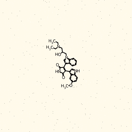 CCN(CC)CC(O)Cn1cc(C2=C(c3c[nH]c4ccc(OC)cc34)C(=O)NC2=O)c2ccccc21